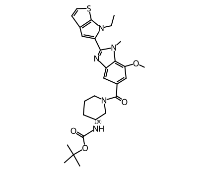 CCn1c(-c2nc3cc(C(=O)N4CCC[C@@H](NC(=O)OC(C)(C)C)C4)cc(OC)c3n2C)cc2ccsc21